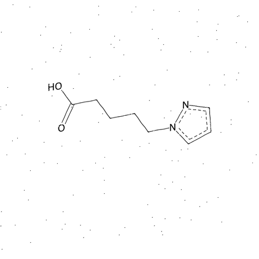 O=C(O)CCCCn1cccn1